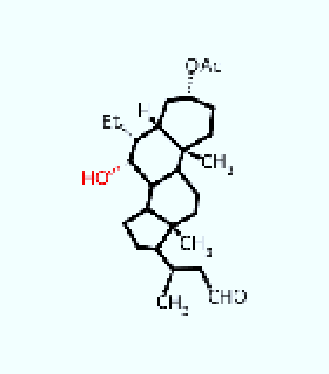 CC[C@H]1[C@@H](O)C2C3CCC([C@H](C)CC=O)[C@@]3(C)CCC2[C@@]2(C)CC[C@@H](OC(C)=O)C[C@@H]12